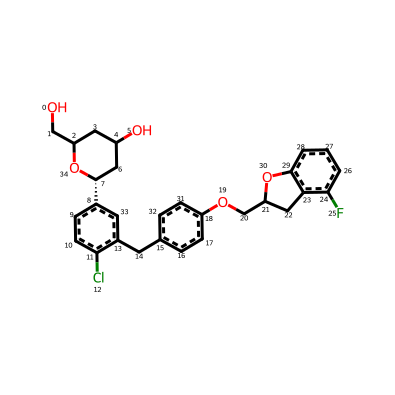 OCC1CC(O)C[C@H](c2ccc(Cl)c(Cc3ccc(OCC4Cc5c(F)cccc5O4)cc3)c2)O1